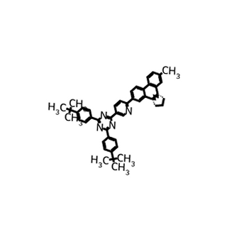 Cc1ccc2c(c1)[C@]13CCC[C@]1(CCC3)c1cc(-c3ccc(-c4nc(-c5ccc(C(C)(C)C)cc5)nc(-c5ccc(C(C)(C)C)cc5)n4)cn3)ccc1-2